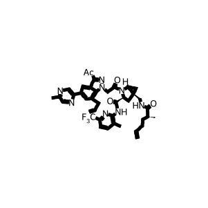 C=CCC[C@@H](C)C(=O)NC[C@@]12C[C@@H](C(=O)Nc3nc(C(F)(F)F)ccc3C)N(C(=O)Cn3nc(C(C)=O)c4cc(-c5cnc(C)cn5)cc(CC=C)c43)[C@@H]1C2